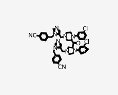 N#Cc1ccc(Cn2cncc2CN2CCN(c3cccc(Cl)c3)C(C(=O)C3CN(Cc4cncn4Cc4ccc(C#N)cc4)CCN3c3cccc(Cl)c3)C2)cc1